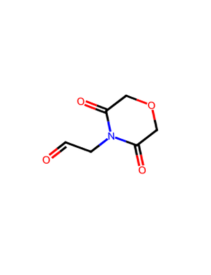 O=CCN1C(=O)COCC1=O